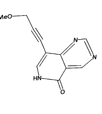 COCC#Cc1c[nH]c(=O)c2cncnc12